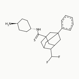 N[C@H]1CC[C@H](NC(=S)C23CC4CC(c5ccccc5)(CC(C2)C4C(F)F)C3)CC1